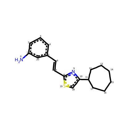 Nc1cccc(C=Cc2nc(C3CCCCCC3)cs2)c1